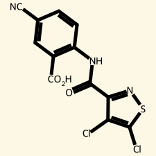 N#Cc1ccc(NC(=O)c2nsc(Cl)c2Cl)c(C(=O)O)c1